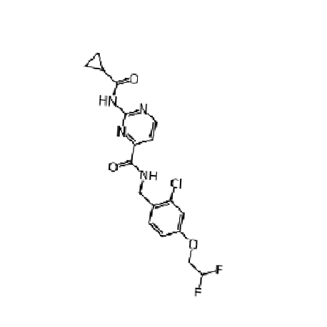 O=C(NCc1ccc(OCC(F)F)cc1Cl)c1ccnc(NC(=O)C2CC2)n1